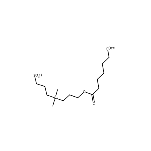 CCCCCCCCCCCCCCCC(=O)OCCC[N+](C)(C)CCCS(=O)(=O)O